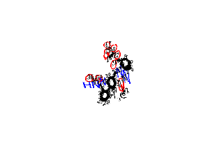 CCOc1nc2cccc(C(=O)OC3COC(=O)O3)c2n1Cc1ccc(-c2ccccc2-c2noc(=O)[nH]2)cc1